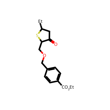 CCOC(=O)c1ccc(COCC2SC(CC)CC2=O)cc1